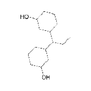 CC[C](C1CCCC(O)C1)C1CCCC(O)C1